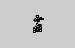 Cc1c(CCCO[Si](c2ccccc2)(c2ccccc2)C(C)(C)C)[nH]c(=O)c2c(Cl)nc(Cl)c(F)c12